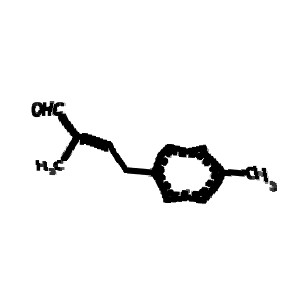 CC(C=O)=CCc1ccc(C)cc1